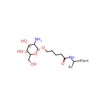 CCCCCC(NC(=O)CCCCO[C@@H]1OC(CO)[C@H](O)[C@H](O)C1N)C(C)=O